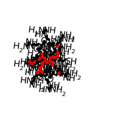 N=C(N)NCCC[C@H](NC(=O)[C@H](CCCNC(=N)N)NC(=O)[C@H](CCCNC(=N)N)NC(=O)[C@H](CCCNC(=N)N)NC(=O)[C@H](CCCNC(=N)N)NC(=O)[C@H](CCCNC(=N)N)NC(=O)[C@H](CCCNC(=N)N)NC(=O)[C@H](CCCNC(=N)N)NC(=O)[C@H](CCCNC(=N)N)NC(=O)[C@H](CCCNC(=N)N)NC(=O)[C@H](CCCNC(=N)N)NC(=O)[C@H](CCCNC(=N)N)NC(=O)[C@@H](N)CS)C(=O)N[C@@H](CS)C(=O)O